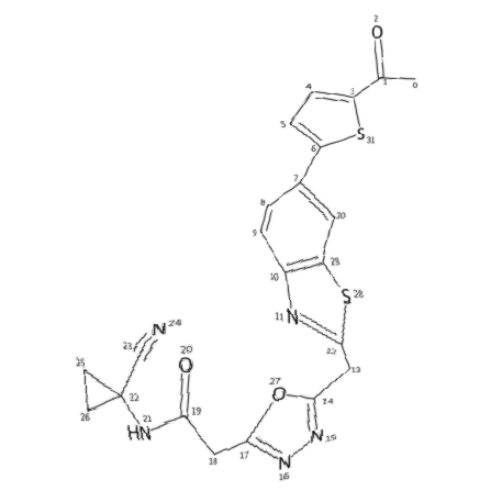 CC(=O)c1ccc(-c2ccc3nc(Cc4nnc(CC(=O)NC5(C#N)CC5)o4)sc3c2)s1